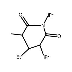 CCC1C(C)C(=O)N(C(C)C)C(=O)C1C(C)C